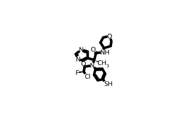 C[C@@](C(=O)NC1CCOCC1)(c1cncnc1)N(C(=O)[C@H](F)Cl)c1ccc(S)cc1